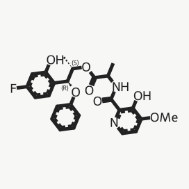 COc1ccnc(C(=O)NC(C)C(=O)O[C@@H](C)[C@H](Oc2ccccc2)c2ccc(F)cc2O)c1O